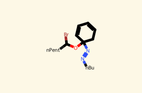 CCCCCC(Br)OC1(N=NCCCC)C=CC=CC1